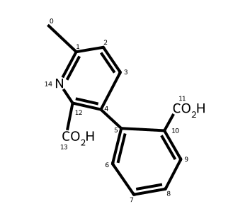 Cc1ccc(-c2ccccc2C(=O)O)c(C(=O)O)n1